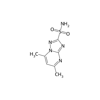 Cc1cc(C)n2nc(S(N)(=O)=O)nc2n1